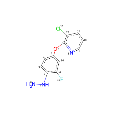 NNc1ccc(Oc2ncccc2Cl)cc1F